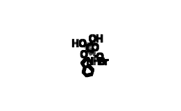 O[C@H]1[C@H](Oc2cc3ccccc3[nH]2)[C@@H](COBr)O[C@@H]1O